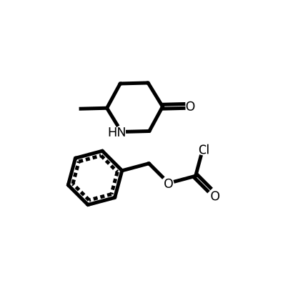 CC1CCC(=O)CN1.O=C(Cl)OCc1ccccc1